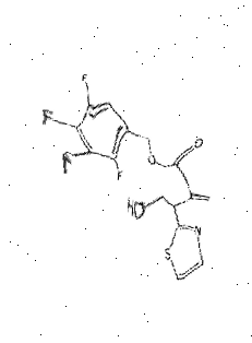 C=C(C(=O)OCc1cc(F)c(F)c(F)c1F)C(O)c1nccs1